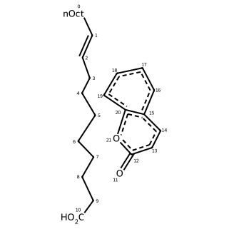 CCCCCCCCC=CCCCCCCCC(=O)O.O=c1ccc2ccccc2o1